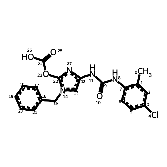 Cc1cc(Cl)ccc1NC(=O)Nc1cn(Cc2ccccc2)c(OC(=O)O)n1